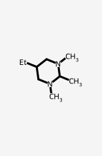 CCC1CN(C)C(C)N(C)C1